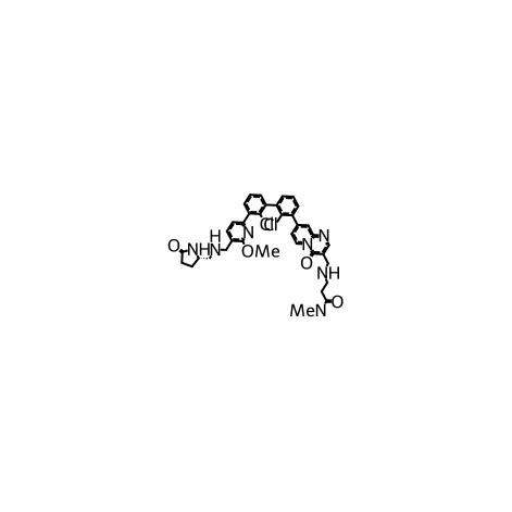 CNC(=O)CCNCc1cnc2cc(-c3cccc(-c4cccc(-c5ccc(CNC[C@@H]6CCC(=O)N6)c(OC)n5)c4Cl)c3Cl)ccn2c1=O